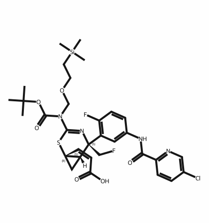 CC(C)(C)OC(=O)N(COCC[Si](C)(C)C)C1=N[C@](CF)(c2cc(NC(=O)c3ccc(Cl)cn3)ccc2F)[C@@H]2C[C@]2(C=CC(=O)O)S1